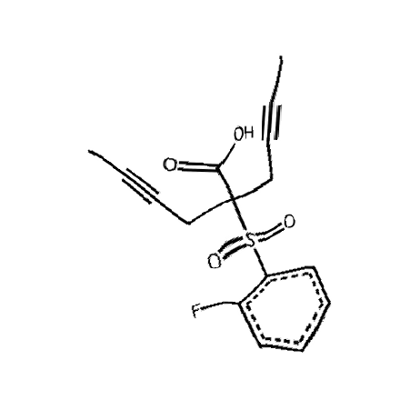 CC#CCC(CC#CC)(C(=O)O)S(=O)(=O)c1ccccc1F